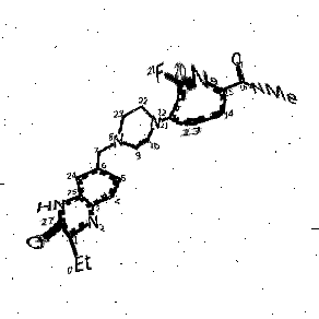 CCc1nc2ccc(CN3CCN(c4ccc(C(=O)NC)nc4F)CC3)cc2[nH]c1=O